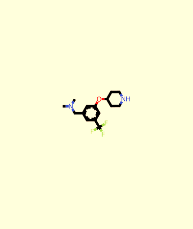 CN(C)Cc1cc(OC2CCNCC2)cc(C(F)(F)F)c1